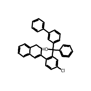 OC(C1=C=C=CC=C1)(c1cccc(-c2ccccc2)c1)c1cc(Cl)ccc1C1=Cc2ccccc2CC1